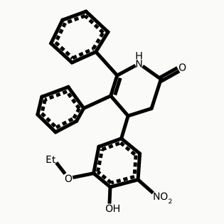 CCOc1cc(C2CC(=O)NC(c3ccccc3)=C2c2ccccc2)cc([N+](=O)[O-])c1O